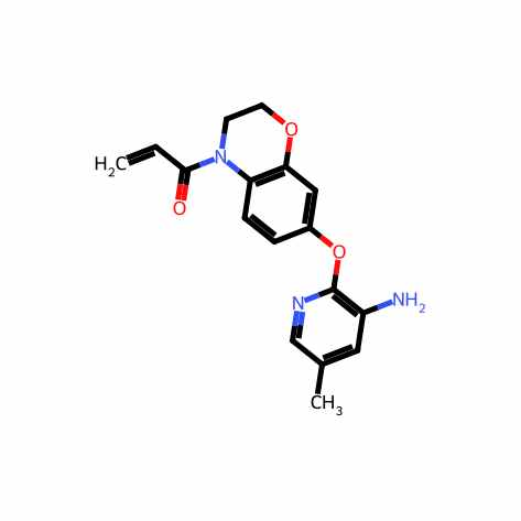 C=CC(=O)N1CCOc2cc(Oc3ncc(C)cc3N)ccc21